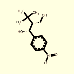 CC(C)(C)[C@H](CO)[C@@H](O)c1ccc([N+](=O)[O-])cc1